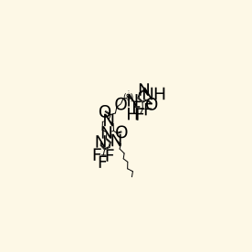 CCCCCCCCN1C(=O)C2CN(C(=O)CCOC[C@H](C)Nc3cn[nH]c(=O)c3C(F)(F)F)CCN2c2ncc(C(F)(F)F)cc21